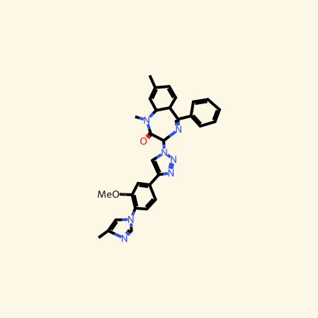 COc1cc(-c2cn(C3N=C(c4ccccc4)C4C=CC(C)=CC4N(C)C3=O)nn2)ccc1-n1cnc(C)c1